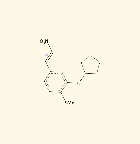 CSc1ccc(/C=C/[N+](=O)[O-])cc1OC1CCCC1